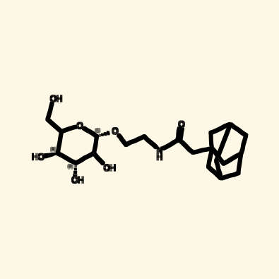 O=C(CC12CC3CC(CC(C3)C1)C2)NCCO[C@H]1OC(CO)[C@H](O)[C@@H](O)C1O